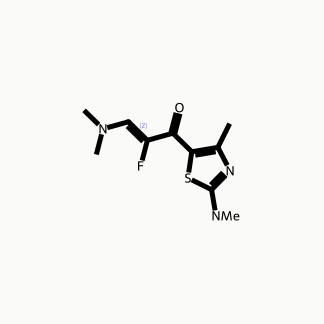 CNc1nc(C)c(C(=O)/C(F)=C/N(C)C)s1